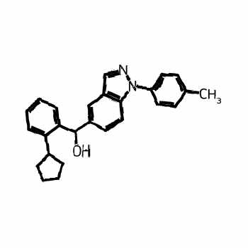 Cc1ccc(-n2ncc3cc(C(O)c4ccccc4C4CCCC4)ccc32)cc1